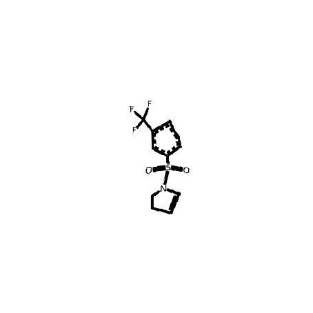 O=S(=O)(c1cccc(C(F)(F)F)c1)N1C=CCC1